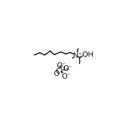 CCCCCCCC[N+](C)(C)C(C)O.[O-][Cl+3]([O-])([O-])[O-]